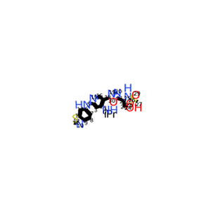 CC(C)Nc1cc(Nc2ccc3ncsc3c2)ncc1-c1nnc(C(CO)NS(C)(=O)=O)o1